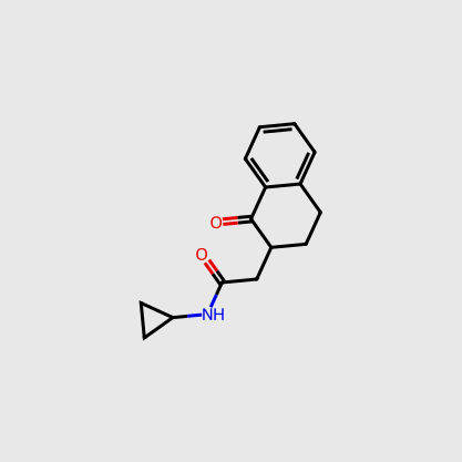 O=C(CC1CCc2ccccc2C1=O)NC1CC1